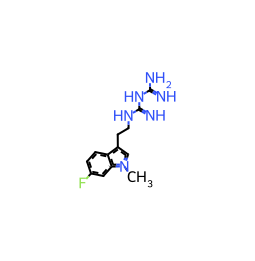 Cn1cc(CCNC(=N)NC(=N)N)c2ccc(F)cc21